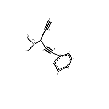 C#CC(C#Cc1ccccc1)N(C)C